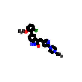 COc1cccc(F)c1-c1ccc2c(c1)C(=Cc1ccc(N3CCN(C)CC3)nc1)C(=O)N2